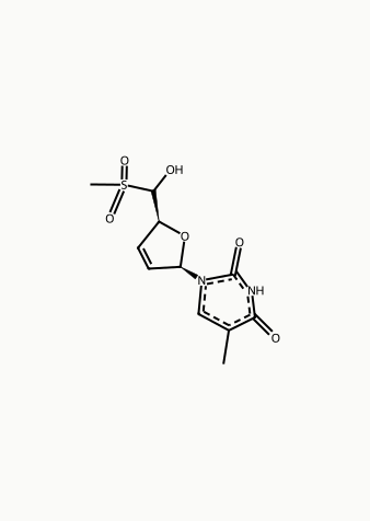 Cc1cn([C@H]2C=C[C@@H](C(O)S(C)(=O)=O)O2)c(=O)[nH]c1=O